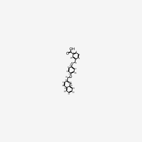 O=C(O)c1cccc(CSc2ccc(OCc3ccc4ccccc4n3)cc2)c1